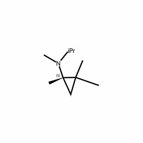 CC(C)N(C)[C@@]1(C)CC1(C)C